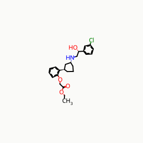 CCOC(=O)COc1ccccc1[C@@H]1CCC[C@@H](NC[C@H](O)c2cccc(Cl)c2)C1